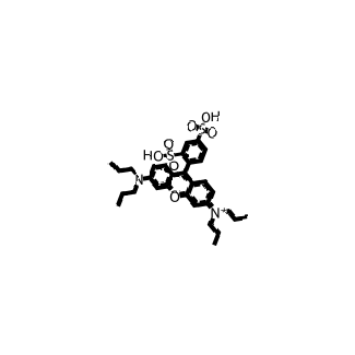 CCCN(CCC)c1ccc2c(-c3ccc(S(=O)(=O)O)cc3S(=O)(=O)O)c3ccc(=[N+](CCC)CCC)cc-3oc2c1